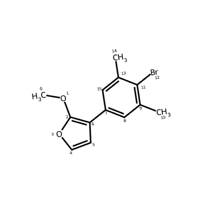 COc1occc1-c1cc(C)c(Br)c(C)c1